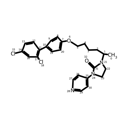 CC(CCCCOc1ccc(-c2ccc(Cl)cc2Cl)cc1)N1CCN(c2ccncc2)C1=O